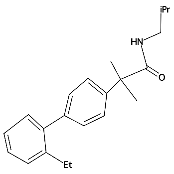 CCc1ccccc1-c1ccc(C(C)(C)C(=O)NCC(C)C)cc1